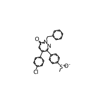 C[S+]([O-])c1ccc(-c2nn(Cc3ccccc3)c(=O)cc2-c2ccc(Cl)cc2)cc1